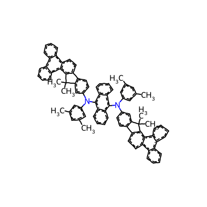 Cc1cc(C)cc(N(c2ccc3c(c2)C(C)(C)c2c-3ccc3c4ccccc4c4ccccc4c23)c2c3ccccc3c(N(c3cc(C)cc(C)c3)c3ccc4c(c3)C(C)(C)c3c-4ccc4c5ccccc5c5ccccc5c34)c3ccccc23)c1